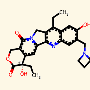 CCc1c2c(nc3cc(CN4CCC4)c(O)cc13)-c1cc3c(c(=O)n1C2)COC(=O)[C@]3(O)CC